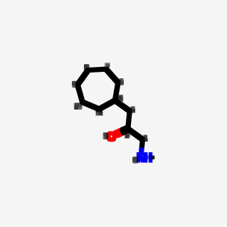 [NH]CC(=O)CC1CCCCCC1